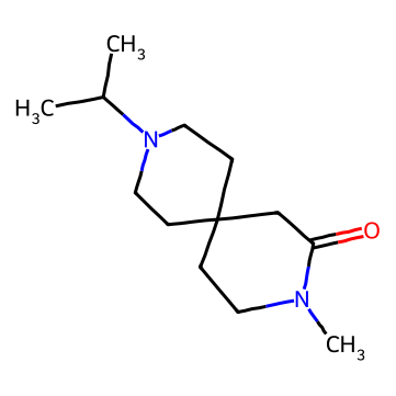 CC(C)N1CCC2(CCN(C)C(=O)C2)CC1